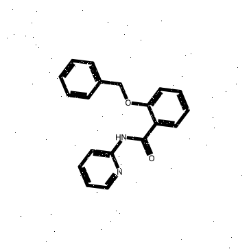 O=C(Nc1ccccn1)c1ccccc1OCc1ccccc1